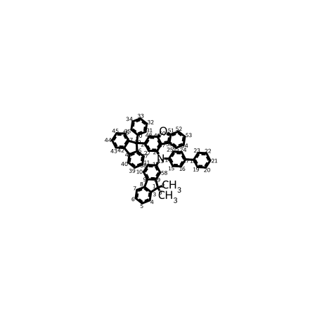 CC1(C)c2ccccc2-c2ccc(N(c3ccc(-c4ccccc4)cc3)c3cc(C4(c5ccccc5)c5ccccc5-c5ccccc54)cc4oc5ccccc5c34)cc21